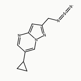 [N-]=[N+]=NCc1cc2ncc(C3CC3)cn2n1